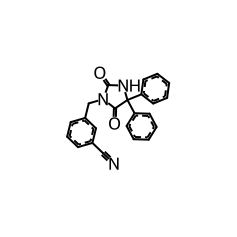 N#Cc1cccc(CN2C(=O)NC(c3ccccc3)(c3ccccc3)C2=O)c1